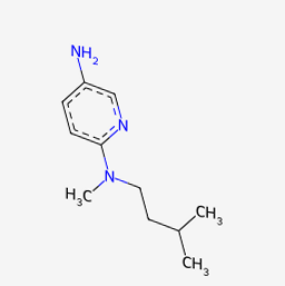 CC(C)CCN(C)c1ccc(N)cn1